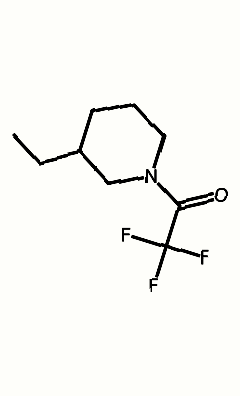 CCC1CCCN(C(=O)C(F)(F)F)C1